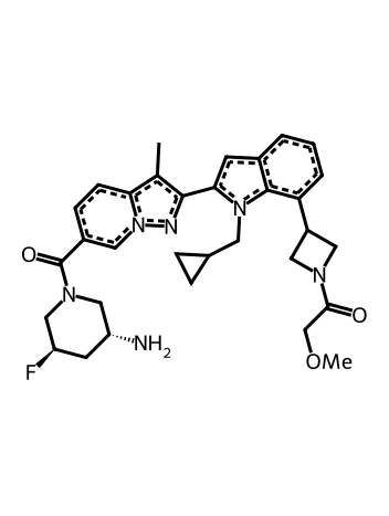 COCC(=O)N1CC(c2cccc3cc(-c4nn5cc(C(=O)N6C[C@H](N)C[C@@H](F)C6)ccc5c4C)n(CC4CC4)c23)C1